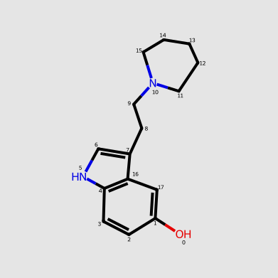 Oc1ccc2[nH]cc(CCN3CCCCC3)c2c1